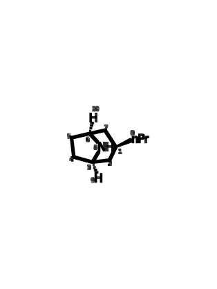 CCC[C@H]1C[C@H]2CC[C@@H](C1)N2